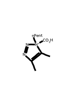 CCCCC[N+]1(C(=O)O)N=NC(C)=C1C